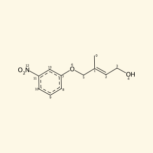 C/C(=C\CO)COc1cccc([N+](=O)[O-])c1